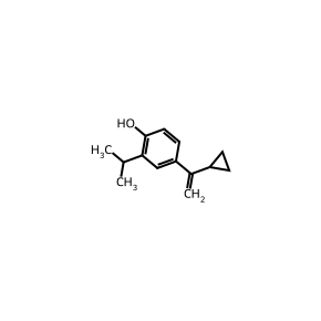 C=C(c1ccc(O)c(C(C)C)c1)C1CC1